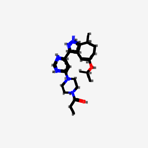 CCC(=O)N1CCN(c2cc(-c3n[nH]c4c3C=C(OC(C)C)CCC4C)ncn2)CC1